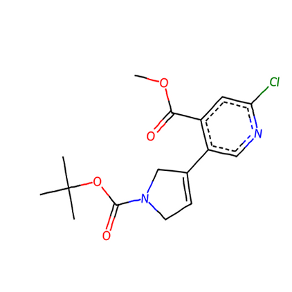 COC(=O)c1cc(Cl)ncc1C1=CCN(C(=O)OC(C)(C)C)C1